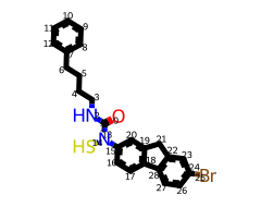 O=C(NCCCCc1ccccc1)N(S)c1ccc2c(c1)Cc1cc(Br)ccc1-2